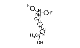 CN(CCO)c1cc(N2CCN(C(=O)Cn3nc(-c4ccc(F)cc4)nc3-c3ccc(F)cc3)CC2)ncn1